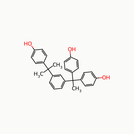 CC(C)(c1ccc(O)cc1)c1cccc(C(C)(c2ccc(O)cc2)c2ccc(O)cc2)c1